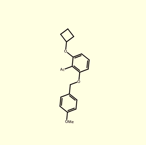 COc1ccc(COc2cccc(OC3CCC3)c2C(C)=O)cc1